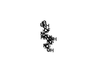 CS(=O)(=O)NCc1cc(F)cc(-c2nccc3[nH]c(-c4n[nH]c5ccc(-c6cncc(O)c6)nc45)cc23)c1